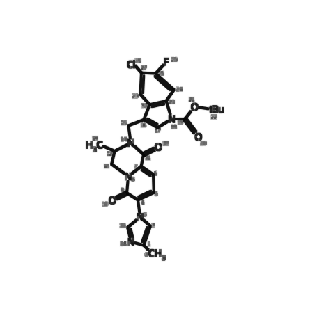 Cc1cn(-c2ccc3n(c2=O)CC(C)N(Cc2cn(C(=O)OC(C)(C)C)c4cc(F)c(Cl)cc24)C3=O)cn1